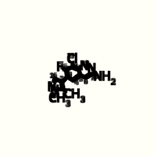 Cc1c(-c2cc3cc(N)nnc3c(Cl)c2F)cnn1C